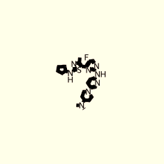 Cc1nc(NC2CCCC2)sc1-c1nc(Nc2ccc(N3CCC(N(C)C)CC3)cn2)ncc1F